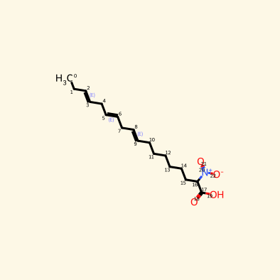 CC/C=C/C/C=C/C/C=C/CCCCCCC(C(=O)O)[N+](=O)[O-]